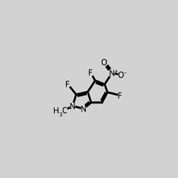 Cn1nc2cc(F)c([N+](=O)[O-])c(F)c2c1F